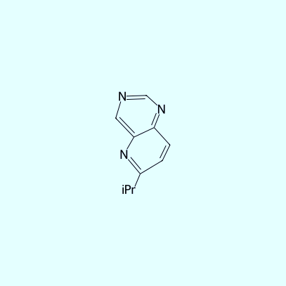 CC(C)c1ccc2ncncc2n1